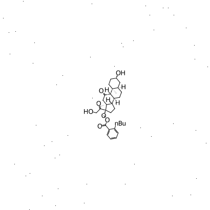 CCCCc1ccccc1C(=O)OO[C@]1(C(=O)CO)CC[C@H]2[C@@H]3CC[C@@H]4C[C@H](O)CC[C@]4(C)[C@H]3C(=O)C[C@@]21C